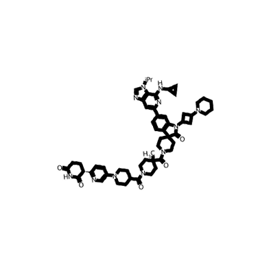 CC(C)n1cnc2cc(-c3ccc4c(c3)N(C3CC(N5CCCCC5)C3)C(=O)C43CCN(C(=O)C4(C)CCN(C(=O)C5CCN(c6ccc([C@H]7CCC(=O)NC7=O)nc6)CC5)CC4)CC3)nc(NC3CC3)c21